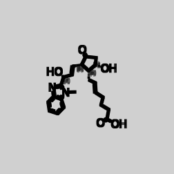 Cn1c([C@H](O)C=C[C@H]2C(=O)C[C@H](O)[C@@H]2CC=CCCCC(=O)O)nc2ccccc21